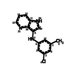 Cc1cc(Cl)cc(Nc2n[nH]c3cccnc23)c1